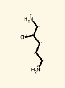 NCCCC(Cl)CN